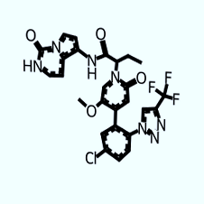 CCC(C(=O)Nc1ccn2c(=O)[nH]ccc12)n1cc(OC)c(-c2cc(Cl)ccc2-n2cc(C(F)(F)F)nn2)cc1=O